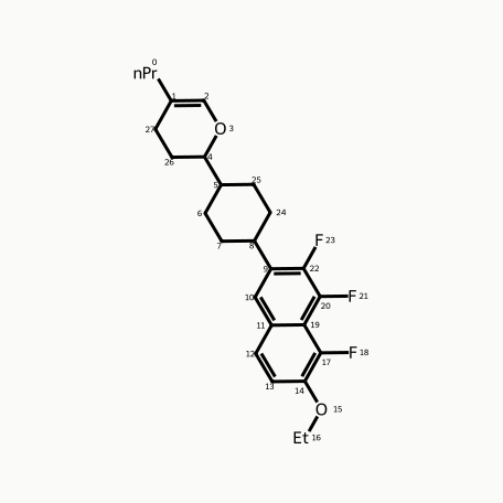 CCCC1=COC(C2CCC(c3cc4ccc(OCC)c(F)c4c(F)c3F)CC2)CC1